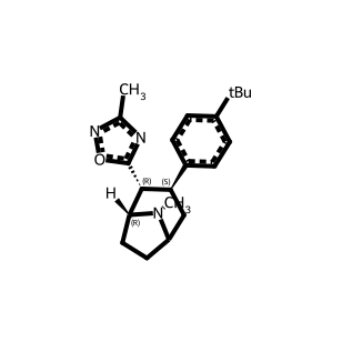 Cc1noc([C@@H]2[C@@H](c3ccc(C(C)(C)C)cc3)CC3CC[C@H]2N3C)n1